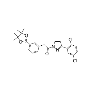 CC1(C)OB(c2cccc(CC(=O)N3CCC(c4cc(Cl)ccc4Cl)=N3)c2)OC1(C)C